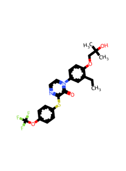 CCc1cc(-n2ccnc(Sc3ccc(OC(F)(F)F)cc3)c2=O)ccc1OCC(C)(C)O